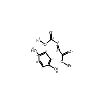 CC(C)OC(=O)N=NC(=O)OC(C)C.Oc1ccc(O)cc1